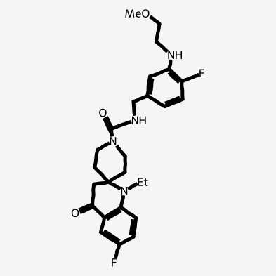 CCN1c2ccc(F)cc2C(=O)CC12CCN(C(=O)NCc1ccc(F)c(NCCOC)c1)CC2